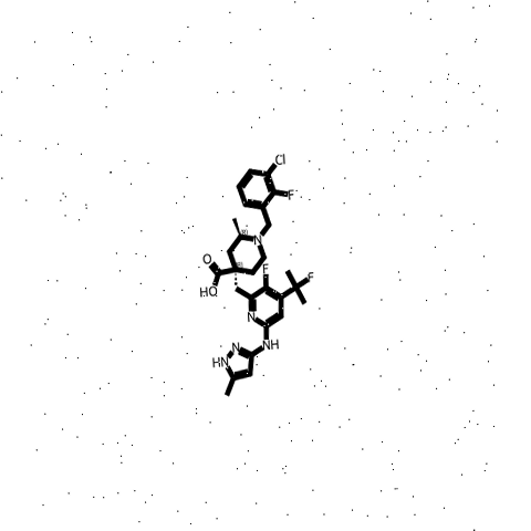 Cc1cc(Nc2cc(C(C)(C)F)c(F)c(C[C@@]3(C(=O)O)CCN(Cc4cccc(Cl)c4F)[C@H](C)C3)n2)n[nH]1